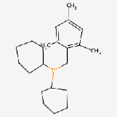 Cc1cc(C)c(CP(C2CCCCC2)C2CCCCC2)c(C)c1